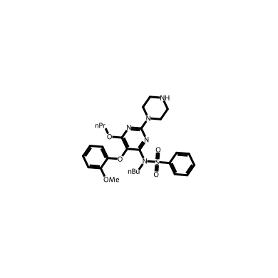 CCCCN(c1nc(N2CCNCC2)nc(OCCC)c1Oc1ccccc1OC)S(=O)(=O)c1ccccc1